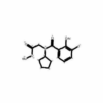 CC(=O)Oc1c(Cl)cccc1C(=O)N(CC(=O)OC(C)(C)C)C1CCCC1